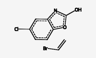 C=CBr.Oc1nc2cc(Cl)ccc2o1